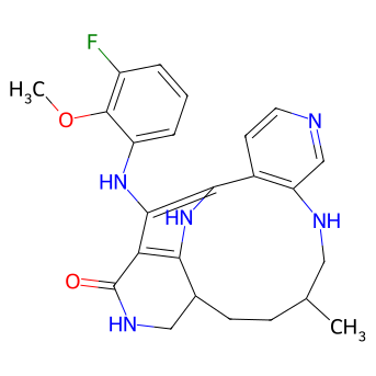 COc1c(F)cccc1Nc1c2[nH]c3c1C(=O)NCC3CCC(C)CNc1cnccc1-2